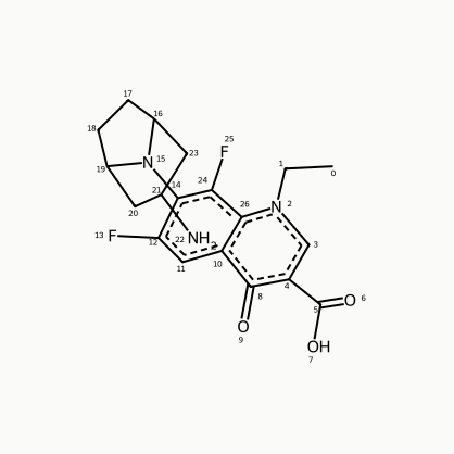 CCn1cc(C(=O)O)c(=O)c2cc(F)c(N3C4CCC3CC(N)C4)c(F)c21